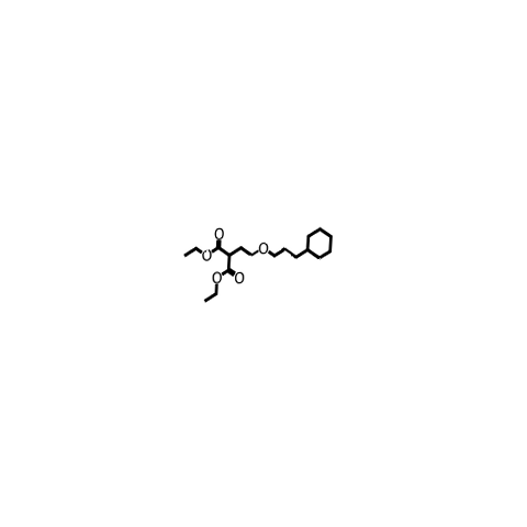 CCOC(=O)C(CCOCCCC1CCCCC1)C(=O)OCC